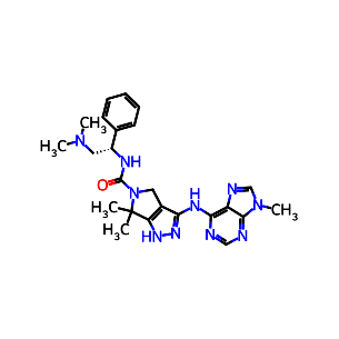 CN(C)C[C@@H](NC(=O)N1Cc2c(Nc3ncnc4c3ncn4C)n[nH]c2C1(C)C)c1ccccc1